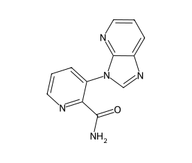 NC(=O)c1ncccc1-n1cnc2cccnc21